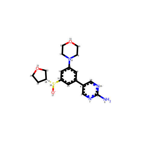 Nc1ncc(-c2cc(N3CCOCC3)cc([S+]([O-])[C@@H]3CCOC3)c2)cn1